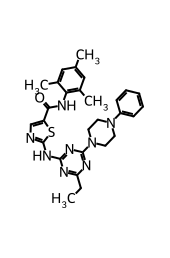 CCc1nc(Nc2ncc(C(=O)Nc3c(C)cc(C)cc3C)s2)nc(N2CCN(c3ccccc3)CC2)n1